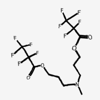 CN(CCCOC(=O)C(F)(F)C(F)(F)F)CCCOC(=O)C(F)(F)C(F)(F)F